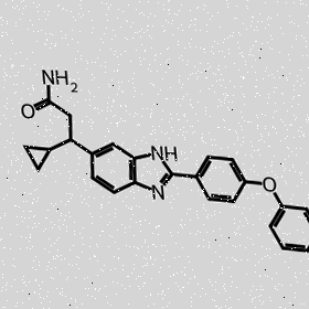 NC(=O)CC(c1ccc2nc(-c3ccc(Oc4ccccc4)cc3)[nH]c2c1)C1CC1